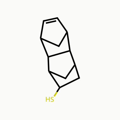 SC1CC2CC1C1C3C=CC(C3)C21